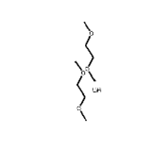 COCCOC.COCCOC.[LiH]